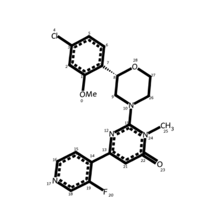 COc1cc(Cl)ccc1[C@H]1CN(c2nc(-c3ccncc3F)cc(=O)n2C)CCO1